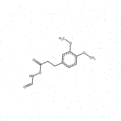 COc1ccc(CCC(=O)ONC=O)cc1OC